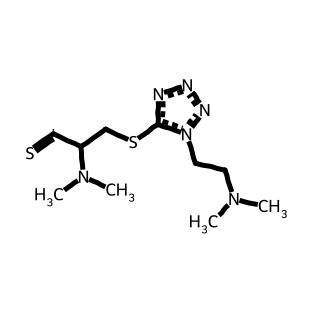 CN(C)CCn1nnnc1SCC([C]=S)N(C)C